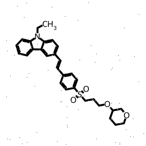 CCn1c2ccccc2c2cc(C=Cc3ccc(S(=O)(=O)CCCOC4CCCOC4)cc3)ccc21